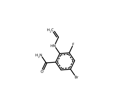 C=CNc1c(F)cc(Br)cc1C(N)=O